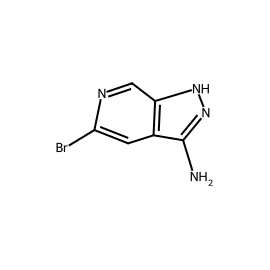 Nc1n[nH]c2cnc(Br)cc12